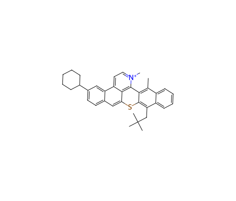 Cc1c2c(c(CC(C)(C)C)c3ccccc13)Sc1cc3ccc(C4CCCCC4)cc3c3cc[n+](C)c-2c13